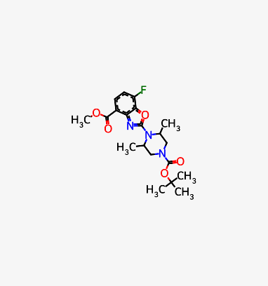 COC(=O)c1ccc(F)c2oc(N3C(C)CN(C(=O)OC(C)(C)C)CC3C)nc12